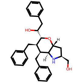 OC[C@@H]1C[C@H]2O[C@@H](C(O)Cc3ccccc3)[C@H](Cc3ccccc3)[C@H](Cc3ccccc3)[C@@H]2N1